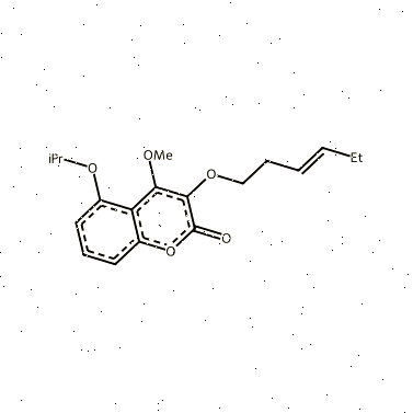 CCC=CCCOc1c(OC)c2c(OC(C)C)cccc2oc1=O